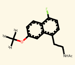 [2H]C([2H])([2H])Oc1ccc2c(F)ccc(CCNC(C)=O)c2c1